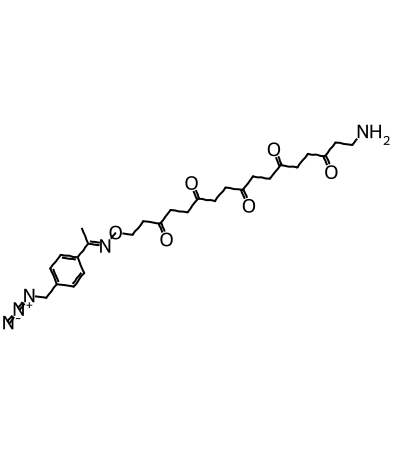 C/C(=N\OCCC(=O)CCC(=O)CCC(=O)CCC(=O)CCC(=O)CCN)c1ccc(CN=[N+]=[N-])cc1